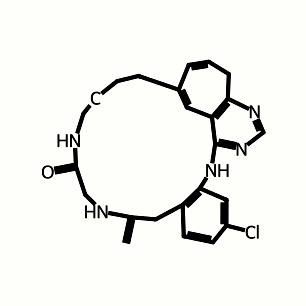 C=C1Cc2ccc(Cl)cc2Nc2ncnc3c2C=C(C=CC3)CCCCNC(=O)CN1